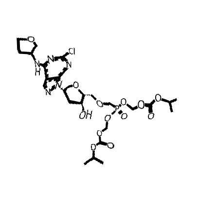 CC(C)OC(=O)OCOP(=O)(COC[C@H]1O[C@@H](n2ncc3c(NC4CCOC4)nc(Cl)nc32)C[C@@H]1O)OCOC(=O)OC(C)C